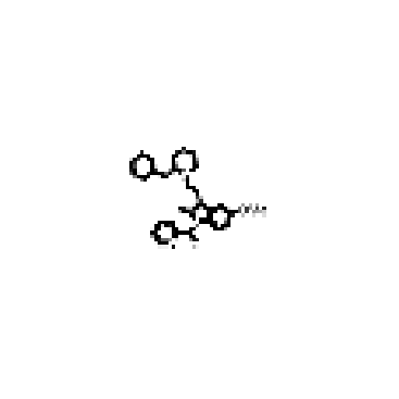 COc1ccc2c(c1)c(CCN1CCCCC1CC1CCCCC1)c(C)n2C(=O)c1ccccn1